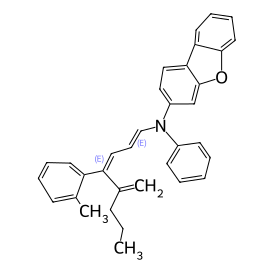 C=C(CCC)/C(=C\C=C\N(c1ccccc1)c1ccc2c(c1)oc1ccccc12)c1ccccc1C